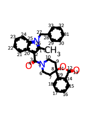 Cc1c(C(=O)N2CCC3(CC2)OC(=O)c2ccccc23)c2ccccc2n1Cc1ccccc1